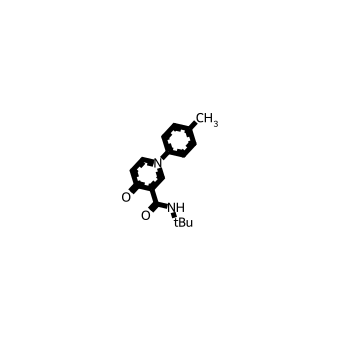 Cc1ccc(-n2ccc(=O)c(C(=O)NC(C)(C)C)c2)cc1